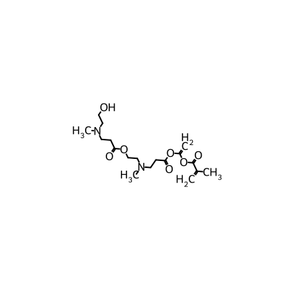 C=C(OC(=O)CCN(C)CCOC(=O)CCN(C)CCO)OC(=O)C(=C)C